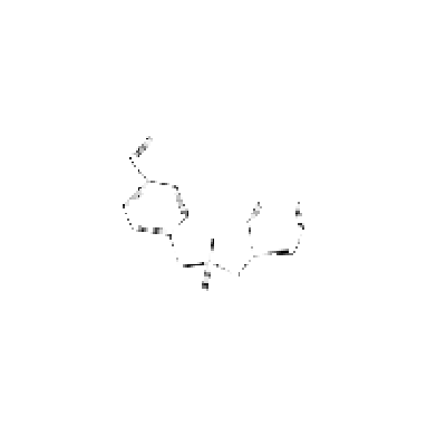 CP(=O)(Oc1ccccc1)Oc1ccc(C=O)cc1